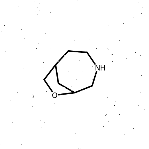 C1CC2COC(CN1)C2